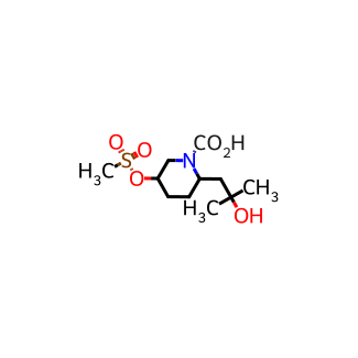 CC(C)(O)CC1CCC(OS(C)(=O)=O)CN1C(=O)O